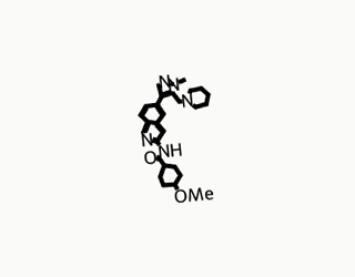 COC1CCC(C(=O)Nc2cc3cc(-c4cnn(C)c4CN4CCCCC4)ccc3cn2)CC1